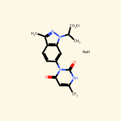 CCOC(=O)C(C)n1nc(C)c2ccc(-n3c(=O)cc(C(F)(F)F)[nH]c3=O)cc21.[NaH]